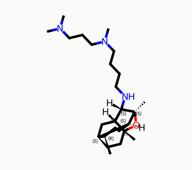 C[C@@H]1CC[C@H]2[C@]13CC[C@@]1(C)O[C@]2(C)[C@@H](NCCCCN(C)CCCN(C)C)[C@H]1C3